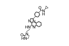 O=C(NC1CC1)c1ccc(-c2cnc3c(NCCN4CCNC4=O)nc4ccccc4n23)cc1